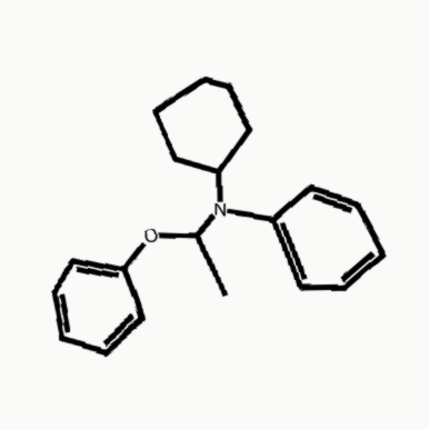 CC(Oc1ccccc1)N(c1ccccc1)C1CCCCC1